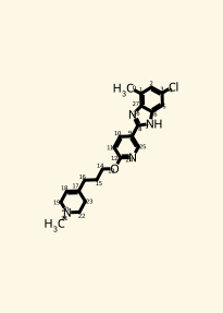 Cc1cc(Cl)cc2[nH]c(-c3ccc(OCCCC4=CCN(C)CC4)nc3)nc12